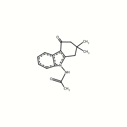 CC(=O)Nn1c2c(c3ccccc31)C(=O)CC(C)(C)C2